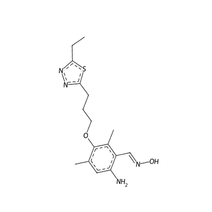 CCc1nnc(CCCOc2c(C)cc(N)c(C=NO)c2C)s1